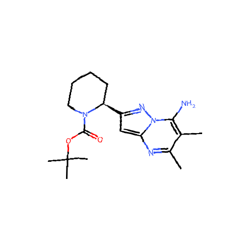 Cc1nc2cc([C@@H]3CCCCN3C(=O)OC(C)(C)C)nn2c(N)c1C